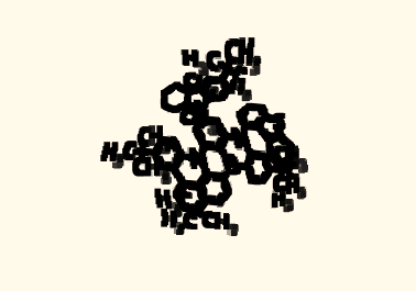 CC(C)(C)c1ccc(N2c3cc(C(C)(C)C)ccc3B3c4ccc(C(C)(C)C)cc4N(c4cccc5sc6ccccc6c45)c4cc(N5c6ccc(C(C)(C)C)cc6C6(C)CCCCC56C)cc2c43)c(-c2ccccc2)c1